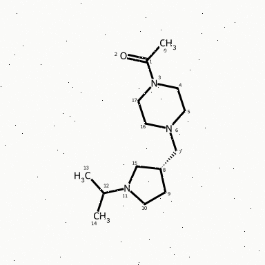 CC(=O)N1CCN(C[C@@H]2CCN(C(C)C)C2)CC1